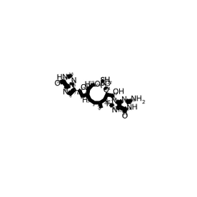 CC1CC[C@H]2C[C@H](c3cnc4c(=O)[nH]cnn34)O[C@@H]2COP(=O)(S)O[C@@H]([C@@H](O)n2cnc3c(=O)[nH]c(N)nc32)[C@@H]1F